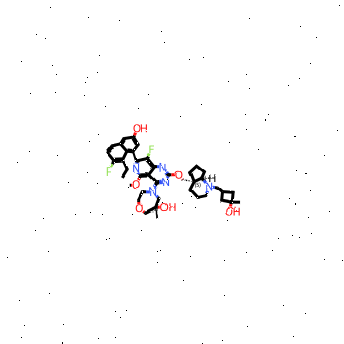 CCc1c(F)ccc2cc(O)cc(-c3nc(OC)c4c(N5CCOC[C@@](C)(O)C5)nc(OC[C@]56CCC[C@H]5N(CC5CC(C)(O)C5)CCC6)nc4c3F)c12